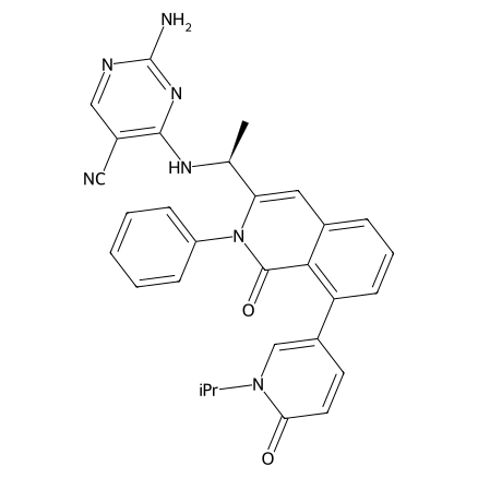 CC(C)n1cc(-c2cccc3cc([C@H](C)Nc4nc(N)ncc4C#N)n(-c4ccccc4)c(=O)c23)ccc1=O